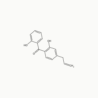 C=CCc1ccc(C(=O)c2ccccc2O)c(O)c1